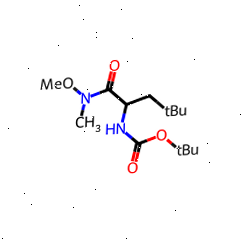 CON(C)C(=O)C(CC(C)(C)C)NC(=O)OC(C)(C)C